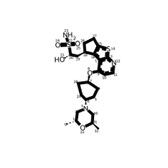 C[C@@H]1CN([C@H]2CC[C@H](Oc3ccnc4sc5c(c34)[C@@H](C[C@H](O)S(N)(=O)=O)CC5)CC2)C[C@@H](C)O1